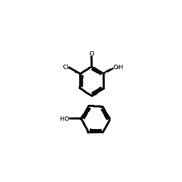 Oc1cccc(Cl)c1Cl.Oc1ccccc1